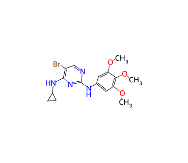 COc1cc(Nc2ncc(Br)c(NC3CC3)n2)cc(OC)c1OC